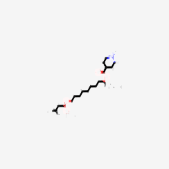 CCCCCCCCCC(CCCCCCCCOC(=O)CC(CCCC)CCCCCC)OC(=O)C1CCN(C)CC1